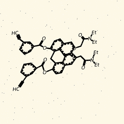 C#Cc1cccc(C(=O)Oc2ccc3ccc(OCC(=O)N(CC)CC)cc3c2Cc2c(OC(=O)c3cccc(C#C)c3)ccc3ccc(OCC(=O)N(CC)CC)cc23)c1